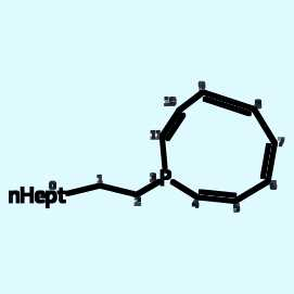 CCCCCCCCCp1cccccccc1